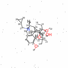 COc1ccc2c3c1O[C@H]1[C@@]4(OC)CC[C@@]5(C[C@@H]4[C@H](O)C(C)(C)C)[C@@H](C2)N(CC2CC2)CC[C@]315